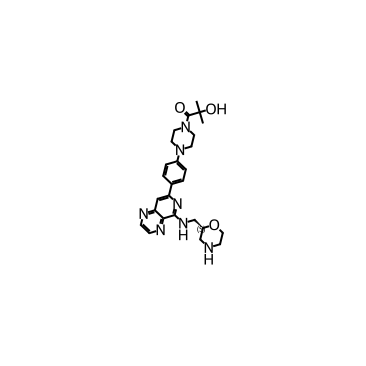 CC(C)(O)C(=O)N1CCN(c2ccc(-c3cc4nccnc4c(NC[C@@H]4CNCCO4)n3)cc2)CC1